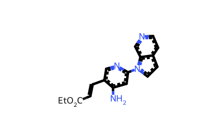 CCOC(=O)/C=C/c1cnc(-n2ccc3ccncc32)cc1N